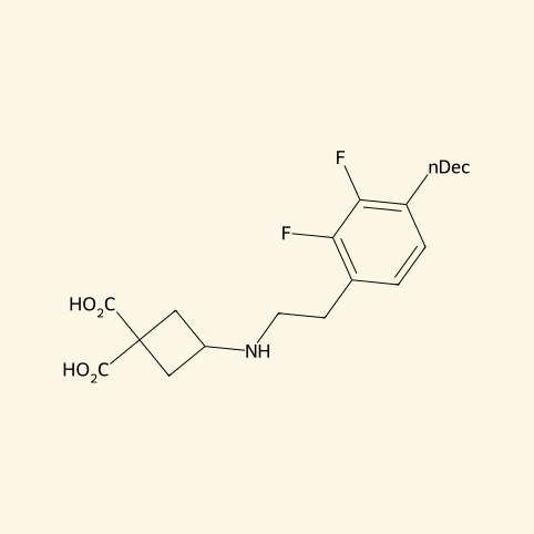 CCCCCCCCCCc1ccc(CCNC2CC(C(=O)O)(C(=O)O)C2)c(F)c1F